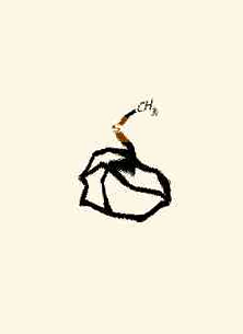 CSC12CC3CC(CC(C3)C1)C2